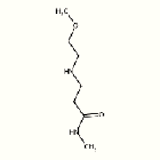 CNC(=O)CCNCCOC